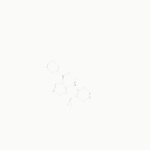 C=Cc1cccc(C(=O)c2ccccc2)c1C(=O)c1ccccc1